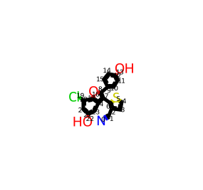 N#Cc1ccsc1-c1c(-c2ccc(O)cc2)oc2c(Cl)cc(O)cc12